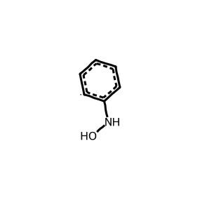 ONc1[c]cccc1